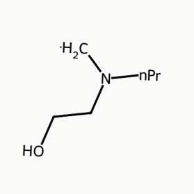 [CH2]N(CCC)CCO